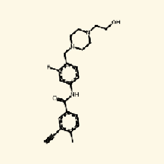 C#Cc1cc(C(=O)Nc2ccc(CN3CCN(CCO)CC3)c(F)c2)ccc1C